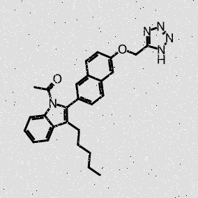 CCCCCc1c(-c2ccc3cc(OCc4nnn[nH]4)ccc3c2)n(C(C)=O)c2ccccc12